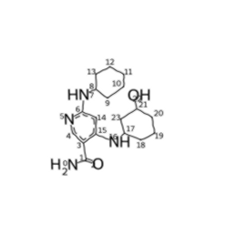 NC(=O)c1cnc(NC2CCCCC2)cc1NC1CCCC(O)C1